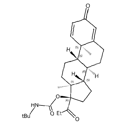 CCC(=O)[C@@]1(OC(=O)NC(C)(C)C)CC[C@H]2[C@@H]3CCC4=CC(=O)C=C[C@]4(C)[C@H]3CC[C@@]21C